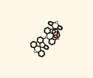 c1ccc2c(c1)Oc1ccccc1C21c2ccccc2-c2c(N(c3cccc4c3-c3ccccc3C43c4ccccc4Oc4ccccc43)c3cccc4oc5ccccc5c34)cccc21